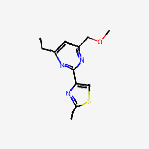 CCc1cc(COC)nc(-c2csc(C)n2)n1